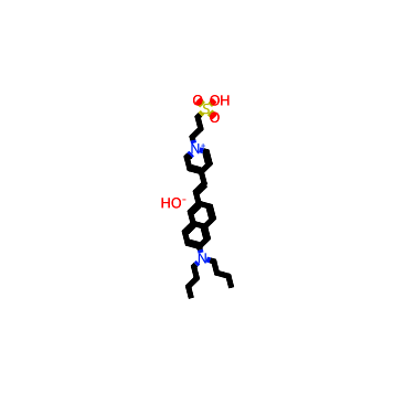 CCCCN(CCCC)c1ccc2cc(/C=C/c3cc[n+](CCCS(=O)(=O)O)cc3)ccc2c1.[OH-]